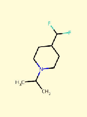 CC(C)N1CCC(C(F)F)CC1